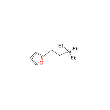 CC[Si](CC)(CC)CCc1ccco1